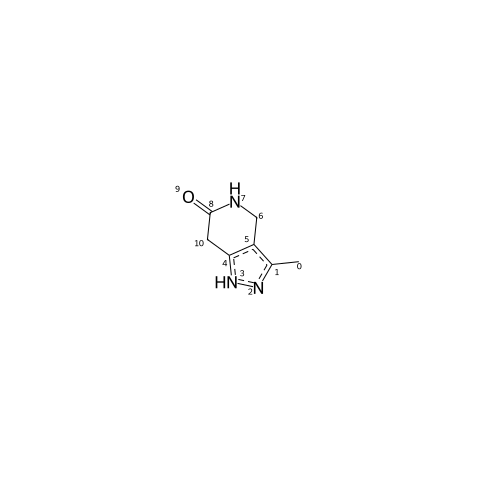 Cc1n[nH]c2c1CNC(=O)C2